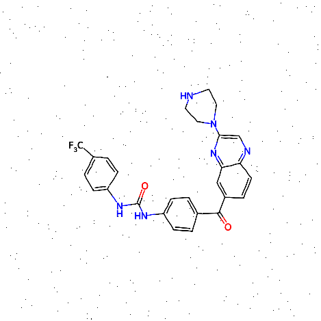 O=C(Nc1ccc(C(=O)c2ccc3ncc(N4CCNCC4)nc3c2)cc1)Nc1ccc(C(F)(F)F)cc1